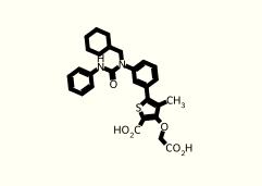 Cc1c(-c2cccc(N(CC3CCCCC3)C(=O)Nc3ccccc3)c2)sc(C(=O)O)c1OCC(=O)O